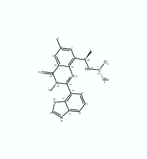 Cc1cc([C@@H](C)N[S@+]([O-])C(C)(C)C)c2nc(-c3cccc4ncsc34)n(C)c(=O)c2c1